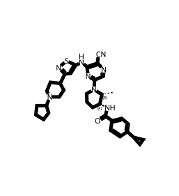 C[C@@H]1[C@H](NC(=O)c2ccc(C3CC3)cc2)CCCN1c1cnc(C#N)c(Nc2cc(C3CCN(C4CCCC4)CC3)ns2)n1